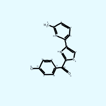 Cc1cccc(-c2csc(C(=O)c3ccc(Cl)cc3)n2)n1